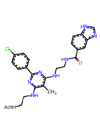 CC(=O)NCCNc1nc(-c2ccc(Cl)cc2)nc(NCCNC(=O)c2ccc3[nH]cnc3c2)c1C